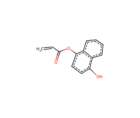 C=CC(=O)Oc1ccc(O)c2ccccc12